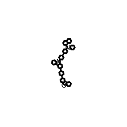 c1ccc(N(c2ccc(-c3ccc(-n4c5ccccc5c5cc(-c6ccc(-c7ccc8oc9ccccc9c8c7)cc6)ccc54)cc3)cc2)c2cccc3ccccc23)cc1